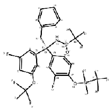 CC(F)(F)Oc1cc(F)cc([C@@](Cc2ccccc2)(N[S@+]([O-])C(C)(C)C)c2ccc(O[Si](C)(C)C(C)(C)C)c(F)c2)c1